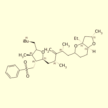 C=C([C@H](C)CC1CC[C@@H]2O[C@@H](C)C[C@]2(CC)O1)[C@H](C)C[C@@H]1OC(C[C@H](C)CC)[C@H](C)[C@H]1CS(=O)(=O)c1ccccc1